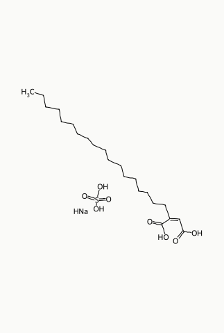 CCCCCCCCCCCCCCCCCCC(=CC(=O)O)C(=O)O.O=S(=O)(O)O.[NaH]